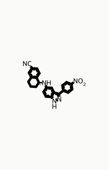 N#Cc1ccc2c(c1)CCC[C@@H]2Nc1ccc2[nH]nc(-c3ccc([N+](=O)[O-])cc3)c2c1